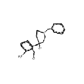 Cc1cccc(C2(O)CCN(Cc3ccccc3)CC2)c1CCl